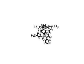 CN(C)CCCNC(=O)C(c1cccnc1)N(C(=O)[C@H]1C[C@@H](O)CN1)c1ccc(C(C)(C)C)cc1